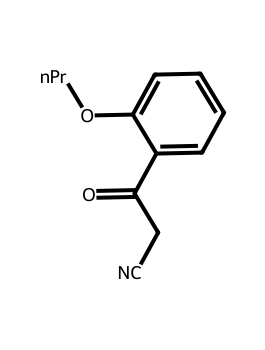 CCCOc1ccccc1C(=O)CC#N